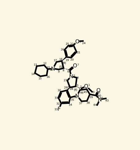 COC[C@H]1CN(C(=O)[C@@H]2CN(C3CCCCC3)C[C@H]2c2ccc(OC)cc2)C[C@@H]1c1ccc(F)cc1N1CCC(C(=O)N(C)C)CC1